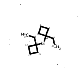 CCC1(SC2(CC)CCC2)CCC1